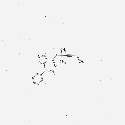 C=CC#CC(C)(C)OC(=O)c1cncn1[C@H](C)c1ccccc1